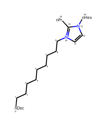 CCCCCCCCCCCCCCCCCCC[n+]1ccn(CCCCCC)c1CCC